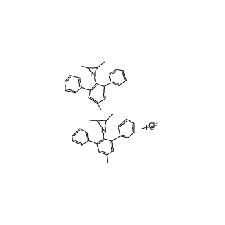 Cc1cc(-c2ccccc2)c(N2C(C)C2C)c(-c2ccccc2)c1.Cc1cc(-c2ccccc2)c(N2C(C)C2C)c(-c2ccccc2)c1.[CH3][Pd+].[Cl-]